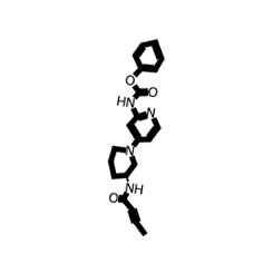 CC#CC(=O)N[C@@H]1CCCN(c2ccnc(NC(=O)Oc3ccccc3)c2)C1